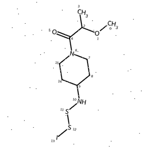 COC(C)C(=O)N1CCC(NSSI)CC1